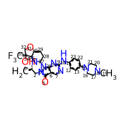 C=CCn1c(=O)c2cnc(Nc3ccc(N4CCN(C)CC4)cc3)nc2n1C1CC=C2OCC(O)(C(F)(F)F)C2=N1